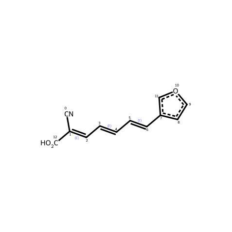 N#C\C(=C/C=C/C=C/c1ccoc1)C(=O)O